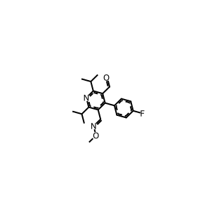 CO/N=C/c1c(C(C)C)nc(C(C)C)c(C=O)c1-c1ccc(F)cc1